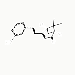 CC1(C)[C@@H]2C[C@H]1C(C=Cc1cccc(O)c1)=CC2=O